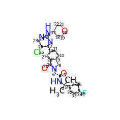 CC(C)(NC(=O)CN1Cc2ccc(-c3nc(NC4CCOCC4)ncc3Cl)cc2C1=O)c1ccc(F)cc1